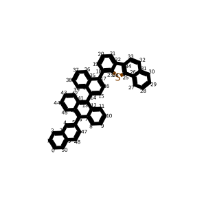 c1ccc2cc(-c3c4ccccc4c(-c4ccc(-c5cccc6c5sc5c7ccccc7ccc65)c5ccccc45)c4ccccc34)ccc2c1